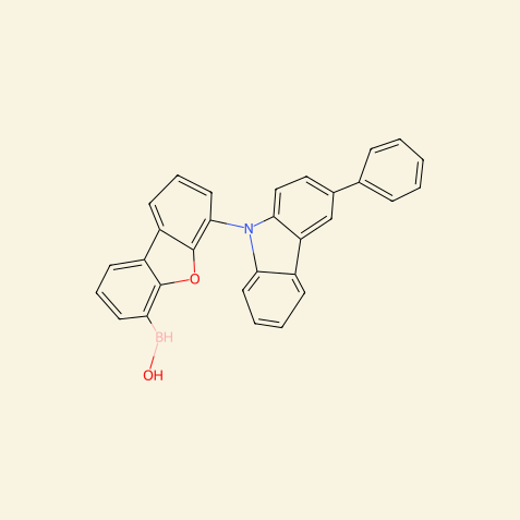 OBc1cccc2c1oc1c(-n3c4ccccc4c4cc(-c5ccccc5)ccc43)cccc12